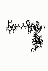 O=C(CCCCc1ccc2c(n1)NCCC2)NCC(NC(=O)C1CN(S(=O)(=O)c2ccc(Cl)s2)C1)C(=O)O